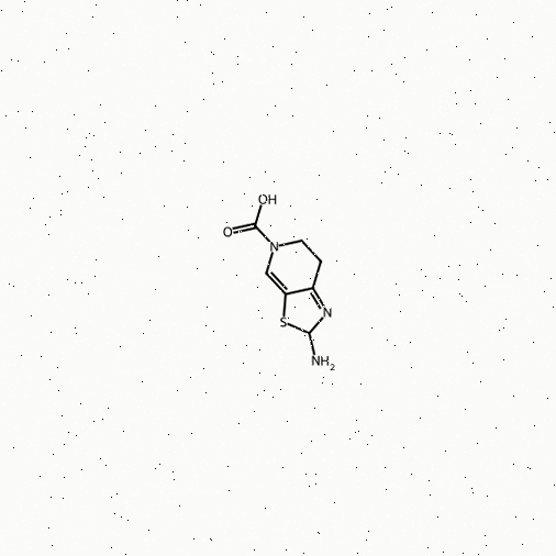 NC1N=C2CCN(C(=O)O)C=C2S1